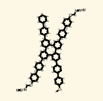 COc1ccc(-c2ccc(-c3ccc4c(c3)-c3cc(-c5ccc(-c6ccc(OCN=[N+]=[N-])cc6)cc5)ccc3-c3ccc(-c5ccc(-c6ccccc6)cc5)cc3-c3cc(-c5ccc(-c6ccc(OCN=[N+]=[N-])cc6)cc5)ccc3-4)cc2)cc1